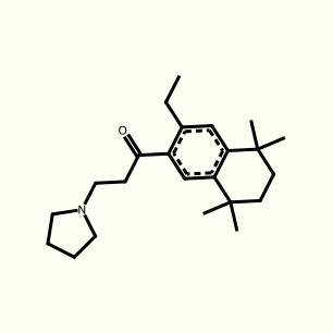 CCc1cc2c(cc1C(=O)CCN1CCCC1)C(C)(C)CCC2(C)C